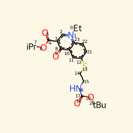 CCn1cc(C(=O)OC(C)C)c(=O)c2cc(SCCNC(=O)OC(C)(C)C)ccc21